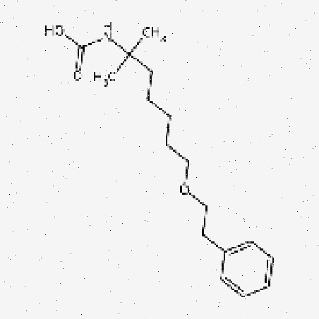 CC(C)(CCCCCOCCc1ccccc1)NC(=O)O